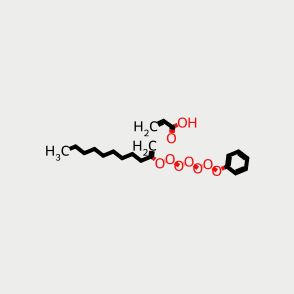 C=C(CCCCCCCCC)OOOOOOOc1ccccc1.C=CC(=O)O